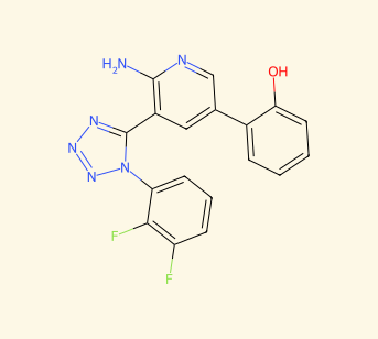 Nc1ncc(-c2ccccc2O)cc1-c1nnnn1-c1cccc(F)c1F